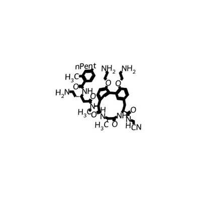 CCCCCc1ccc(C(=O)N[C@@H](CCN)CC(=O)N(C)[C@@H]2C(=O)N[C@@H](C)C(=O)N[C@H](C(=O)NCC#N)Cc3ccc(OCCN)c(c3)-c3cc2ccc3OCCN)c(C)c1